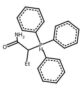 [CH2]CC(C(N)=O)[PH](c1ccccc1)(c1ccccc1)c1ccccc1